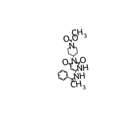 COC(=O)N1CCC(n2c(=O)cc(N[C@@H](C)c3ccccc3)[nH]c2=O)CC1